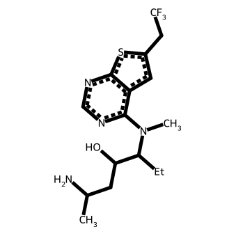 CCC(C(O)CC(C)N)N(C)c1ncnc2sc(CC(F)(F)F)cc12